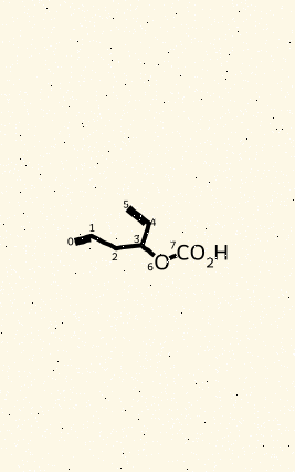 C=CCC(C=C)OC(=O)O